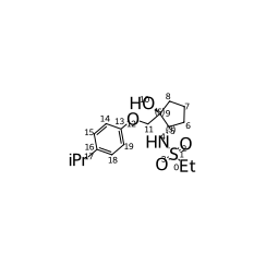 CCS(=O)(=O)N[C@H]1CCC[C@@]1(O)COc1ccc(C(C)C)cc1